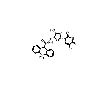 CCc1cn([C@@H]2O[C@H](CNC(=O)C3c4ccccc4[Si](C)(C)c4ccccc43)[C@@H](O)[C@H]2F)c(=O)[nH]c1=O